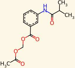 CC(=O)OCOC(=O)c1cccc(NC(=O)C(C)C)c1